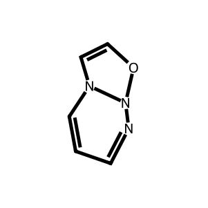 C1=CN2C=CON2N=C1